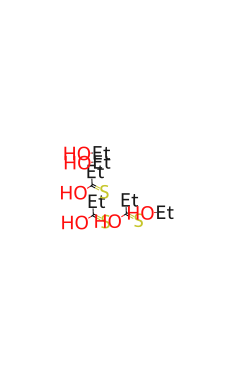 CCC(O)=S.CCC(O)=S.CCC(O)=S.CCO.CCO.CCO